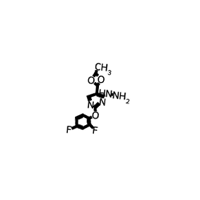 CC1OC(c2cnc(Oc3ccc(F)cc3F)nc2NN)O1